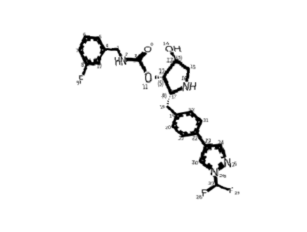 O=C(NCc1cccc(F)c1)O[C@@H]1[C@@H](O)CN[C@@H]1Cc1ccc(-c2cnn(C(F)F)c2)cc1